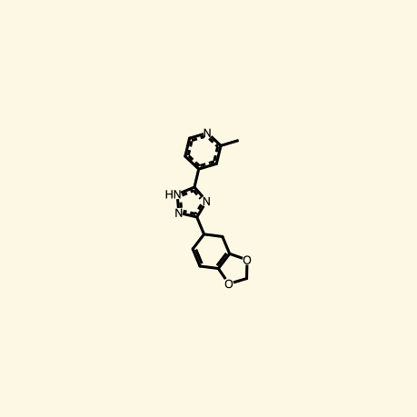 Cc1cc(-c2nc(C3C=CC4=C(C3)OCO4)n[nH]2)ccn1